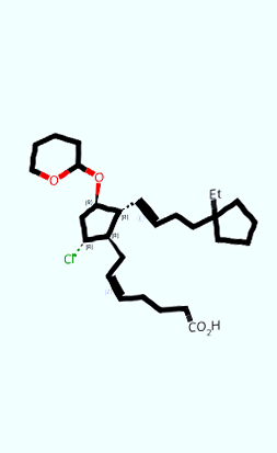 CCC1(CC/C=C/[C@@H]2[C@@H](C/C=C\CCCC(=O)O)[C@H](Cl)C[C@H]2OC2CCCCO2)CCCC1